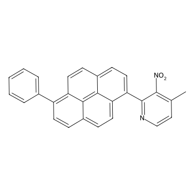 Cc1ccnc(-c2ccc3ccc4c(-c5ccccc5)ccc5ccc2c3c54)c1[N+](=O)[O-]